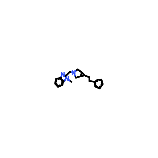 Cn1c(CN2CC3C(CCc4ccccc4)C3C2)nc2ccccc21